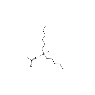 CC(=O)[O-].CCCCCC[N+](C)(C)CCCCCC